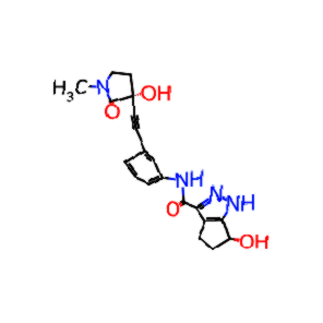 CN1CC[C@@](O)(C#Cc2cccc(NC(=O)c3n[nH]c4c3CC[C@@H]4O)c2)C1=O